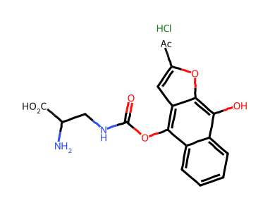 CC(=O)c1cc2c(OC(=O)NCC(N)C(=O)O)c3ccccc3c(O)c2o1.Cl